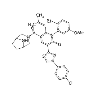 CCc1ccc(OC)cc1-n1c(C=C(C)C)c(C(=O)N2CC3CCC(C2)N3)cc(-c2nc(-c3ccc(Cl)cc3)cs2)c1=O